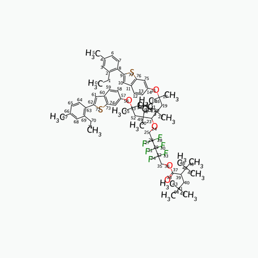 CCc1cc(C)ccc1-c1cc2ccc(OC(C)(C)CC(C)(C)C(OCC(F)(F)C(F)(F)C(F)(F)COC(=O)C(CC(C)(C)C)C(C)(C)C)C(C)(C)CC(C)(C)Oc3ccc4cc(-c5ccc(C)cc5CC)sc4c3)cc2s1